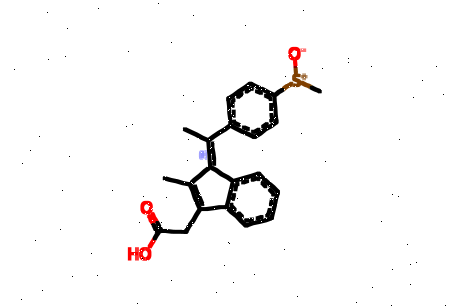 CC1=C(CC(=O)O)c2ccccc2/C1=C(/C)c1ccc([S+](C)[O-])cc1